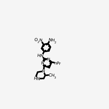 CCCc1cc(N2CCNCC2C)nc(Nc2ccc(N)c([N+](=O)[O-])c2)n1